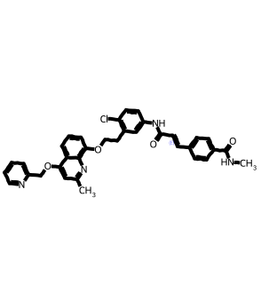 CNC(=O)c1ccc(/C=C/C(=O)Nc2ccc(Cl)c(CCOc3cccc4c(OCc5ccccn5)cc(C)nc34)c2)cc1